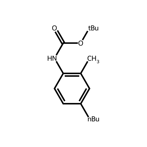 CCCCc1ccc(NC(=O)OC(C)(C)C)c(C)c1